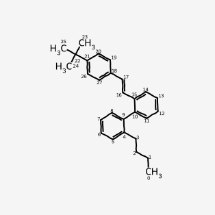 CCCCc1ccccc1-c1ccccc1C=Cc1ccc(C(C)(C)C)cc1